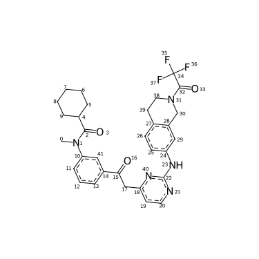 CN(C(=O)C1CCCCC1)c1cccc(C(=O)Cc2ccnc(Nc3ccc4c(c3)CN(C(=O)C(F)(F)F)CC4)n2)c1